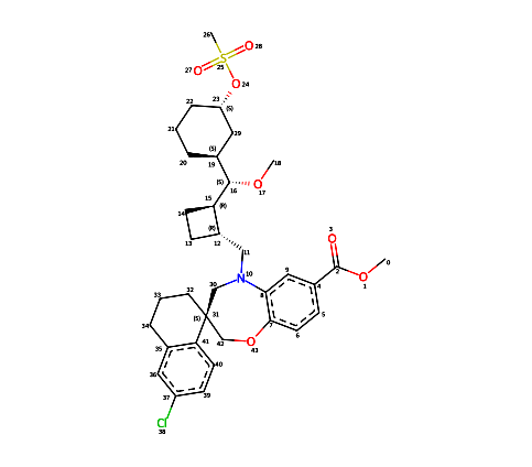 COC(=O)c1ccc2c(c1)N(C[C@@H]1CC[C@H]1[C@@H](OC)[C@H]1CCC[C@H](OS(C)(=O)=O)C1)C[C@@]1(CCCc3cc(Cl)ccc31)CO2